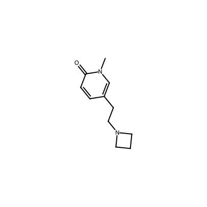 Cn1cc(CCN2CCC2)ccc1=O